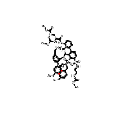 COc1ccc(CN(Cc2ccc(OC)cc2)S(=O)(=O)c2c(S(=O)(=O)NCCNC(=O)OC(C)(C)C)ccc(-c3cccc(NC(=O)[C@@H](CNC(=O)OC(C)(C)C)NC(=O)OC(C)(C)C)c3N)c2C2=N/c3cc(ccc3OC)CN/N=N\2)cc1